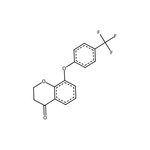 O=C1CCOc2c(Oc3ccc(C(F)(F)F)cc3)cccc21